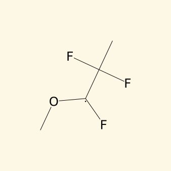 CO[C](F)C(C)(F)F